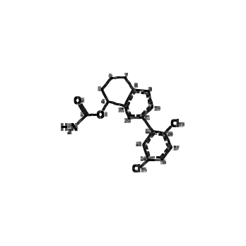 NC(=O)OC1CCCc2ccc(-c3cc(Cl)ccc3Cl)cc21